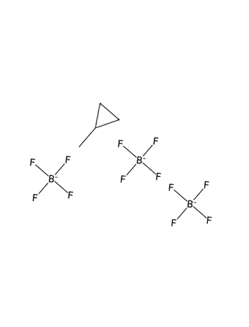 CC1CC1.F[B-](F)(F)F.F[B-](F)(F)F.F[B-](F)(F)F